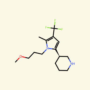 COCCCn1c([C@@H]2CCCNC2)cc(C(F)(F)F)c1C